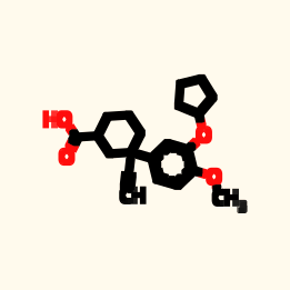 C#CC1(c2ccc(OC)c(OC3CCCC3)c2)CCCC(C(=O)O)C1